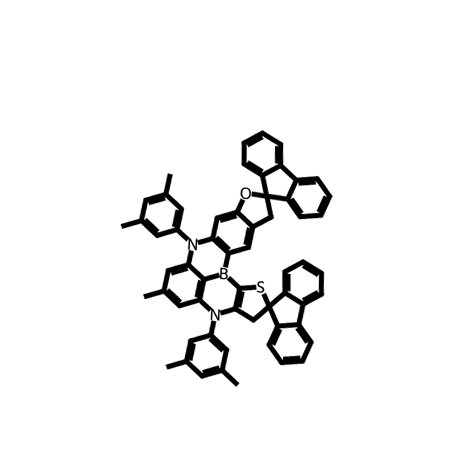 Cc1cc(C)cc(N2C3=C(SC4(C3)c3ccccc3-c3ccccc34)B3c4cc5c(cc4N(c4cc(C)cc(C)c4)c4cc(C)cc2c43)OC2(C5)c3ccccc3-c3ccccc32)c1